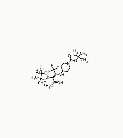 CC(=N)/C(B1OC(C)(C)C(C)(C)O1)=C(\NC1CCN(C(=O)OC(C)(C)C)CC1)C(F)(F)F